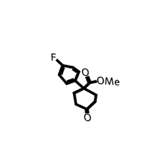 COC(=O)C1(c2ccc(F)cc2)CCC(=O)CC1